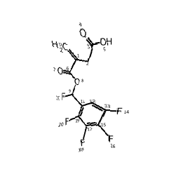 C=C(CC(=O)O)C(=O)OC(F)c1cc(F)c(F)c(F)c1F